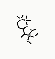 CO[Si](OC)(OC)C(C)C1CC[Si](C)(C)[Si](C)(C)O1